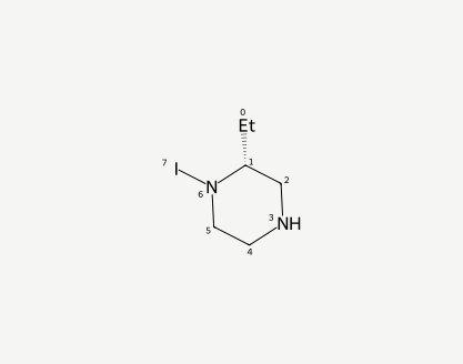 CC[C@@H]1CNCCN1I